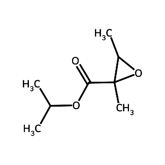 CC(C)OC(=O)C1(C)OC1C